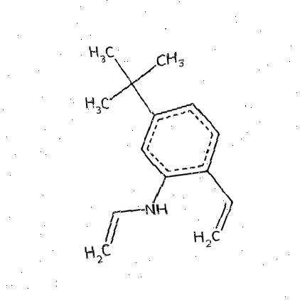 C=CNc1cc(C(C)(C)C)ccc1C=C